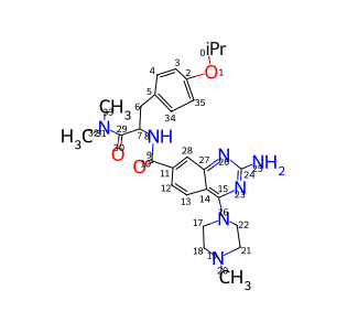 CC(C)Oc1ccc(CC(NC(=O)c2ccc3c(N4CCN(C)CC4)nc(N)nc3c2)C(=O)N(C)C)cc1